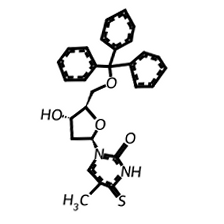 Cc1cn([C@H]2C[C@H](O)[C@@H](COC(c3ccccc3)(c3ccccc3)c3ccccc3)O2)c(=O)[nH]c1=S